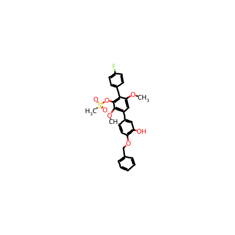 COc1cc(-c2ccc(OCc3ccccc3)c(O)c2)c(OC)c(OS(C)(=O)=O)c1-c1ccc(F)cc1